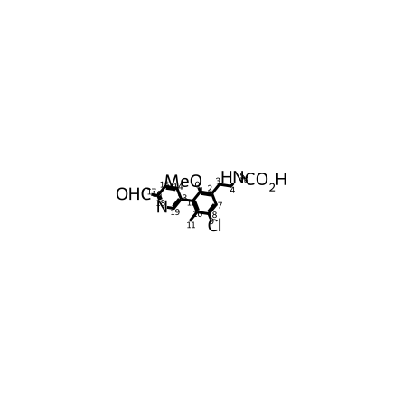 COc1c(CCNC(=O)O)cc(Cl)c(C)c1-c1ccc(C=O)nc1